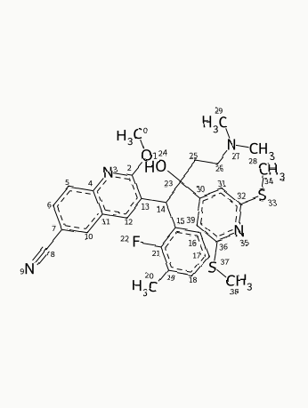 COc1nc2ccc(C#N)cc2cc1C(c1cccc(C)c1F)C(O)(CCN(C)C)c1cc(SC)nc(SC)c1